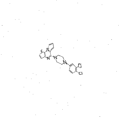 Clc1ccc(N2CCN(c3nc4ccsc4n4cccc34)CC2)cc1Cl